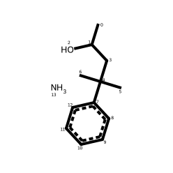 CC(O)CC(C)(C)c1ccccc1.N